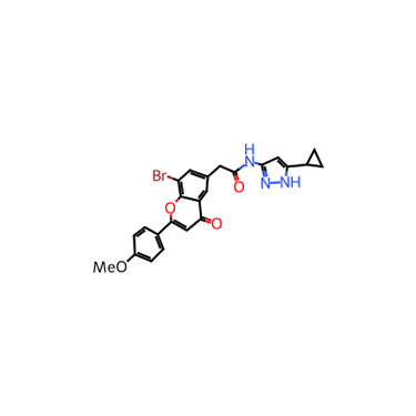 COc1ccc(-c2cc(=O)c3cc(CC(=O)Nc4cc(C5CC5)[nH]n4)cc(Br)c3o2)cc1